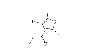 CCC(=O)c1c(C)sc(C)c1Br